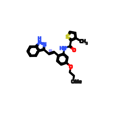 COCCOc1ccc(/C=C/c2n[nH]c3ccccc23)c(NC(=O)c2sccc2C)c1